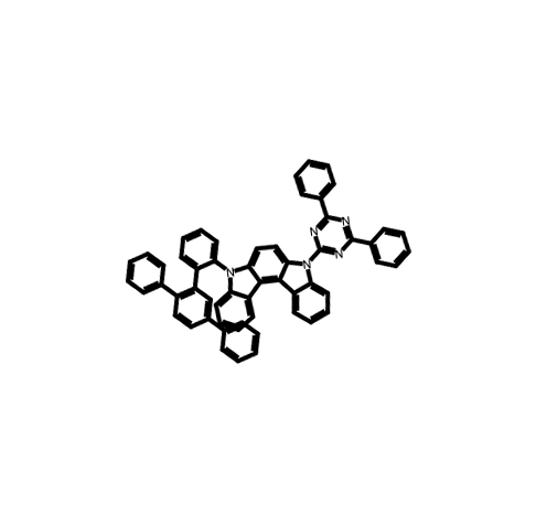 c1ccc(-c2ccc(-c3ccccc3)c(-c3ccccc3-n3c4ccccc4c4c5c6ccccc6n(-c6nc(-c7ccccc7)nc(-c7ccccc7)n6)c5ccc43)c2)cc1